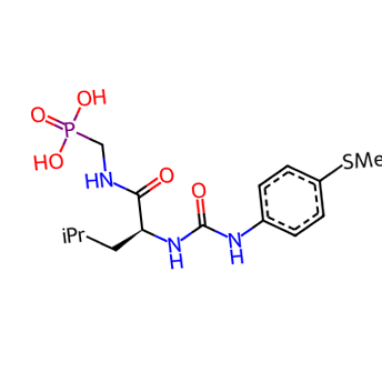 CSc1ccc(NC(=O)N[C@@H](CC(C)C)C(=O)NCP(=O)(O)O)cc1